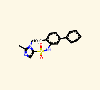 Cc1ncc(S(=O)(=O)Nc2cc(-c3ccccc3)ccc2C(=O)O)n1C